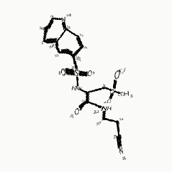 CS(=O)(=O)CC(NS(=O)(=O)c1ccc2ncccc2c1)C(=O)NCCC#N